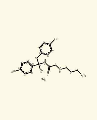 CCCCNCC(=O)NC(C)(Cc1ccc(F)cc1)c1ccc(F)cc1.Cl